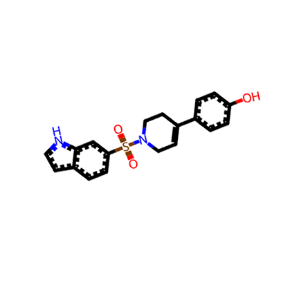 O=S(=O)(c1ccc2cc[nH]c2c1)N1CC=C(c2ccc(O)cc2)CC1